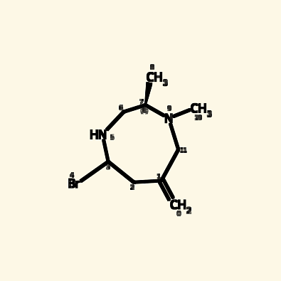 C=C1CC(Br)NC[C@@H](C)N(C)C1